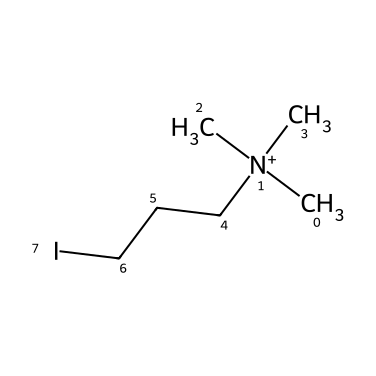 C[N+](C)(C)CCCI